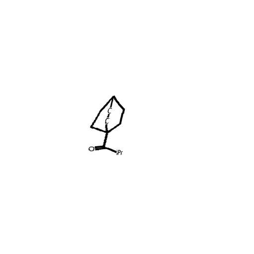 CC(C)C(=O)C12CCC(CC1)CC2